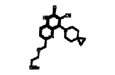 COCCOCc1ccc2[nH]c(=O)c(C#N)c(N3CCC4(CC3)CC4)c2n1